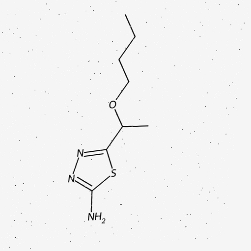 CCCCOC(C)c1nnc(N)s1